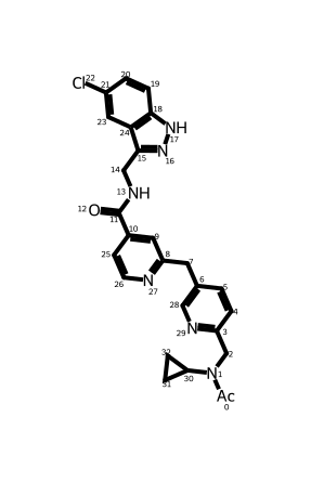 CC(=O)N(Cc1ccc(Cc2cc(C(=O)NCc3n[nH]c4ccc(Cl)cc34)ccn2)cn1)C1CC1